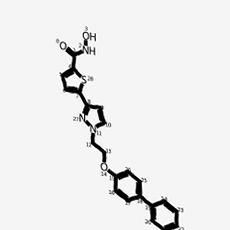 O=C(NO)c1ccc(-c2ccn(CCOc3ccc(-c4ccccc4)cc3)n2)s1